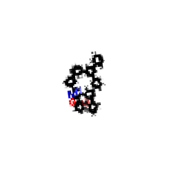 c1ccc(-c2cc(-c3ccccc3)cc(-c3cccc(-c4cccc(-c5nc(-c6cccc7c6oc6ccccc67)c6c(n5)oc5ccccc56)c4)c3)c2)cc1